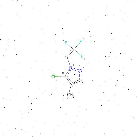 Cc1cnn(CC(F)(F)F)c1Cl